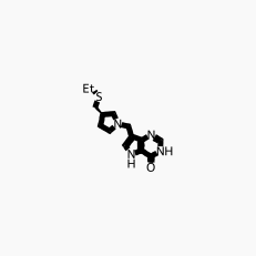 CCSC[C@@H]1CCN(Cc2c[nH]c3c(=O)[nH]cnc23)C1